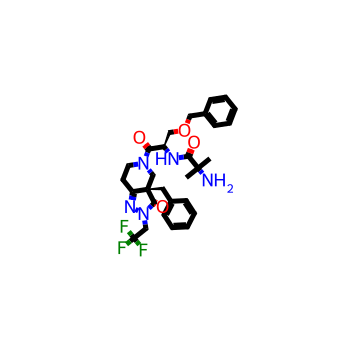 CC(C)(N)C(=O)N[C@H](COCc1ccccc1)C(=O)N1CCC2=NN(CC(F)(F)F)C(=O)[C@@]2(Cc2ccccc2)C1